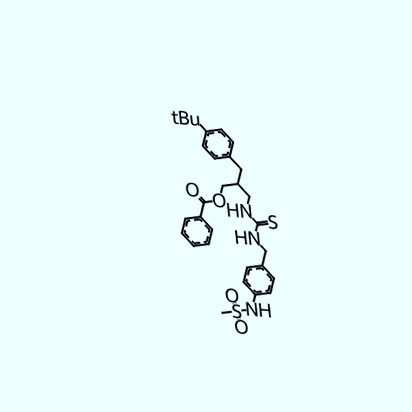 CC(C)(C)c1ccc(CC(CNC(=S)NCc2ccc(NS(C)(=O)=O)cc2)COC(=O)c2ccccc2)cc1